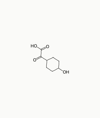 O=C(O)C(=O)C1CCC(O)CC1